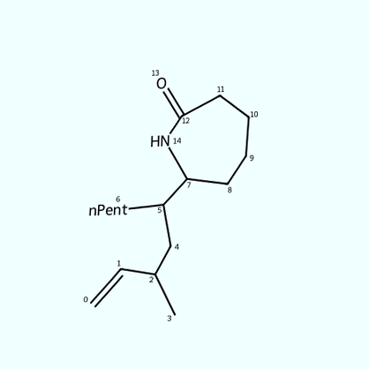 C=CC(C)CC(CCCCC)C1CCCCC(=O)N1